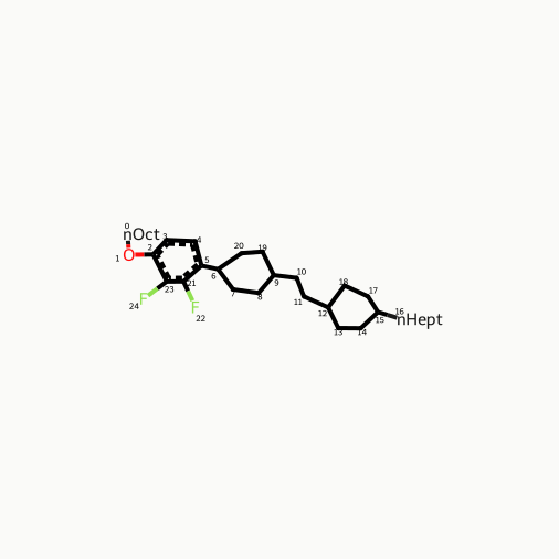 CCCCCCCCOc1ccc(C2CCC(CCC3CCC(CCCCCCC)CC3)CC2)c(F)c1F